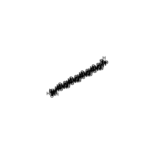 O=C1N=C2N=C(N3C(=O)N=C4N=C(N5C(=O)N=C6N=C(N7C(=O)N=C8N=C(N9C(=O)N=C%10N=C(N%11C(=O)N=C%12N=C(N%13C(=O)N=C%14N=C(N%15C(=O)N=C%16N=C(N%17C(=O)N=C%18N=C(c%19nc%20[nH]c(=O)[nH]c(=O)c%20[nH]%19)N=C%18C%17=O)N=C%16C%15=O)N=C%14C%13=O)N=C%12C%11=O)N=C%10C9=O)N=C8C7=O)N=C6C5=O)N=C4C3=O)N=C2C(=O)N1